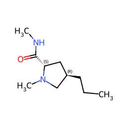 CCC[C@@H]1C[C@@H](C(=O)NC)N(C)C1